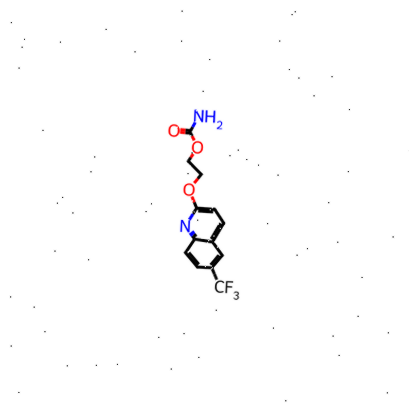 NC(=O)OCCOc1ccc2cc(C(F)(F)F)ccc2n1